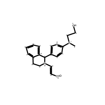 CN(CCO)c1ccc(C2c3ccccc3CCN2C=CC=O)cn1